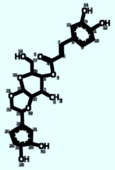 CC1C(OC(=O)/C=C/c2ccc(O)c(O)c2)C(CO)OC2OCC(c3ccc(O)c(O)c3)OC21